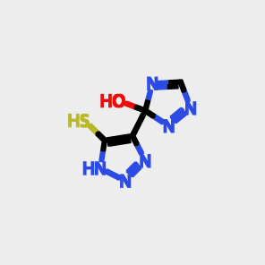 OC1(c2nn[nH]c2S)N=CN=N1